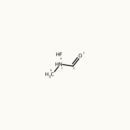 CNC=O.F